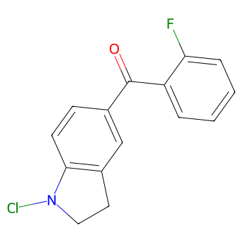 O=C(c1ccc2c(c1)CCN2Cl)c1ccccc1F